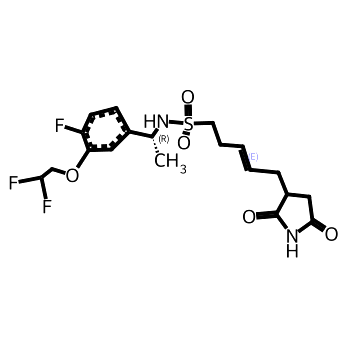 C[C@@H](NS(=O)(=O)CC/C=C/CC1CC(=O)NC1=O)c1ccc(F)c(OCC(F)F)c1